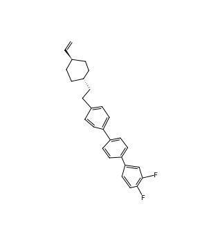 C=C[C@H]1CC[C@H](CCc2ccc(-c3ccc(-c4ccc(F)c(F)c4)cc3)cc2)CC1